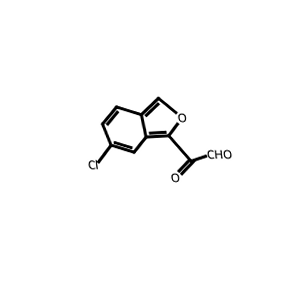 O=CC(=O)c1occ2ccc(Cl)cc12